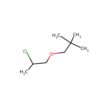 [CH2]C(Cl)COCC(C)(C)C